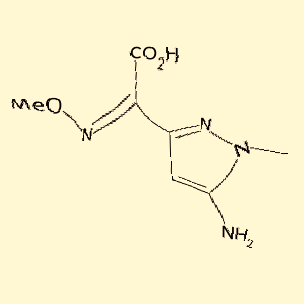 CON=C(C(=O)O)c1cc(N)n(C)n1